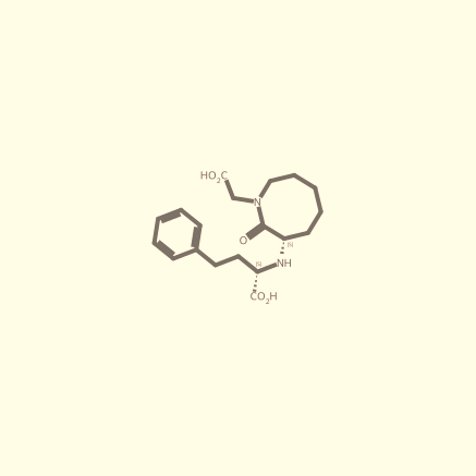 O=C(O)CN1CCCCC[C@H](N[C@@H](CCc2ccccc2)C(=O)O)C1=O